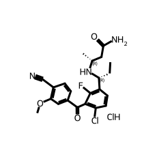 CC[C@@H](N[C@H](C)CC(N)=O)c1ccc(Cl)c(C(=O)c2ccc(C#N)c(OC)c2)c1F.Cl